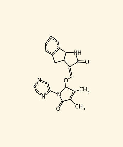 CC1=C(C)C(O/C=C2/C(=O)NC3c4ccccc4CC23)N(c2cnccn2)C1=O